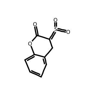 O=C1Oc2ccccc2CC1=S(=O)=O